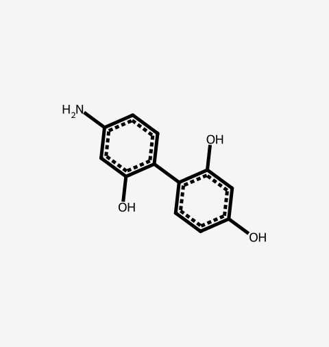 Nc1ccc(-c2ccc(O)cc2O)c(O)c1